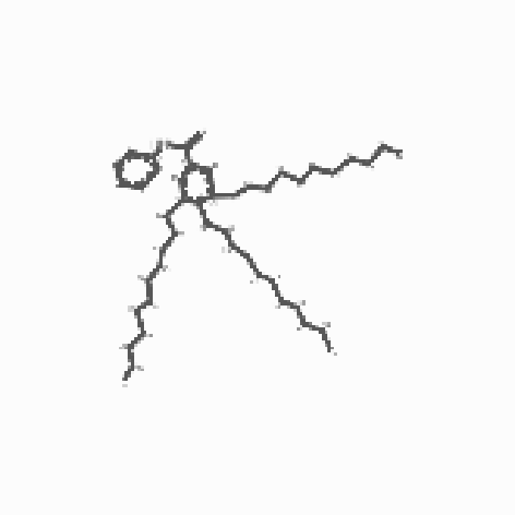 C=C(Nc1ccccc1)c1cc(CCCCCCCCCCC)c(CCCCCCCCCCC)c(CCCCCCCCCCC)c1